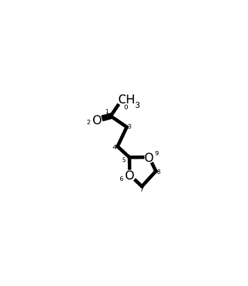 CC(=O)CCC1OCCO1